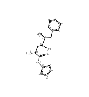 C[C@H](C[C@H](O)[C@@H](N)Cc1ccccc1)C(=O)Nc1ccon1